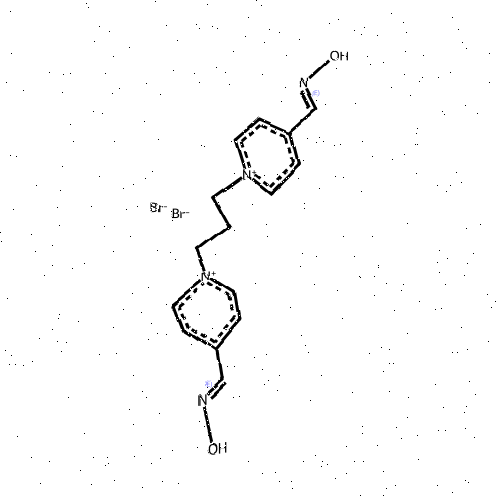 O/N=C/c1cc[n+](CCC[n+]2ccc(/C=N/O)cc2)cc1.[Br-].[Br-]